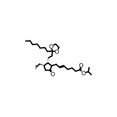 CCCCCCCC1(CC[C@@H]2C(CC=CCCCC(=O)OC(C)C)C(=O)C[C@H]2CI)OCCO1